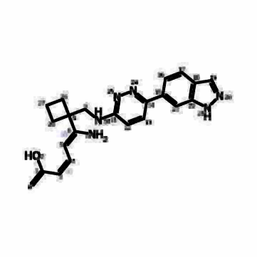 C=C(O)/C=C\C=C(/N)C1(CNc2ccc(-c3ccc4cn[nH]c4c3)nn2)CCC1